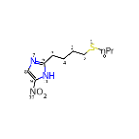 CCCSCCCCc1ncc([N+](=O)[O-])[nH]1